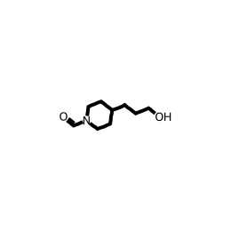 O=CN1CCC(CCCO)CC1